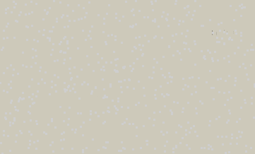 CCCCCCCCCCCCCCCCCCc1cccc2c1ccc1ccccc12